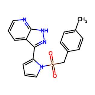 Cc1ccc(CS(=O)(=O)n2cccc2-c2n[nH]c3ncccc23)cc1